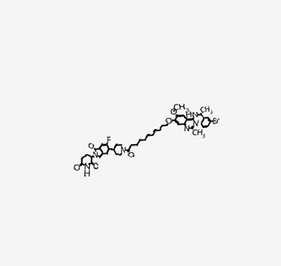 COc1cc2c(NC(C)c3cccc(Br)c3)nc(C)nc2cc1OCCCCCCCCCCC(=O)N1CCC(c2cc3c(cc2F)C(=O)N(C2CCC(=O)NC2=O)C3)CC1